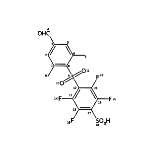 Cc1cc(C=O)cc(C)c1S(=O)(=O)c1c(F)c(F)c(S(=O)(=O)O)c(F)c1F